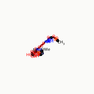 COc1ccc(/C=C\c2cc(OC)c(OC)c(OC)c2)cc1OS(=O)(=O)Oc1cc(C(=O)NCCOCCOCCOCCN/C=C(/CNC(=O)c2ccc(C(=O)CCS(=O)(=O)c3ccc(C)cc3)cc2)N=N)ccc1OC1O[C@H](CO)[C@H](O)[C@H](O)[C@H]1O